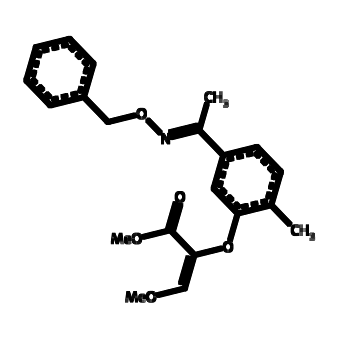 COC=C(Oc1cc(C(C)=NOCc2ccccc2)ccc1C)C(=O)OC